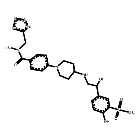 CCCCN(Cc1nnn[nH]1)C(=O)c1ccc(N2CCC(NCC(O)c3ccc(O)c(S(C)(=O)=O)c3)CC2)cc1